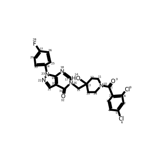 O=C(c1ccc(Cl)cc1Cl)N1CCC(O)(Cn2cnc3c(cnn3-c3ccc(F)cc3)c2=O)CC1